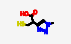 Cn1cc(C(CS)C(=O)O)nn1